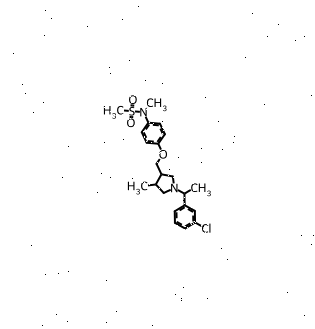 CC1CN(C(C)c2cccc(Cl)c2)CC1COc1ccc(N(C)S(C)(=O)=O)cc1